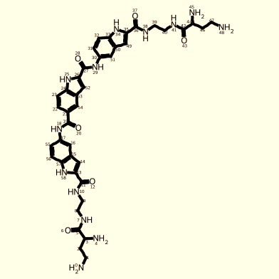 NCCC(N)C(=O)NCCNC(=O)c1cc2cc(NC(=O)c3ccc4[nH]c(C(=O)Nc5ccc6[nH]c(C(=O)NCCNC(=O)C(N)CCN)cc6c5)cc4c3)ccc2[nH]1